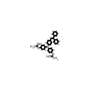 CC(O)Oc1ccc(N(c2ccc(C=C(c3ccccc3)c3ccccc3)cc2)c2ccc(OC(C)O)cc2)cc1